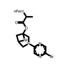 CCCCCC(C)C(=O)OC12CC(CN(c3cnc(Br)cn3)C1)N2